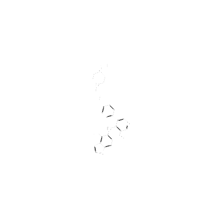 Cc1c(Nc2c(C#N)cncc2-c2ccc(OCCN3CCN(C)CC3)cc2)cc(Cl)c2[nH]ccc12